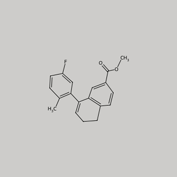 COC(=O)c1ccc2c(c1)C(c1cc(F)ccc1C)=CCC2